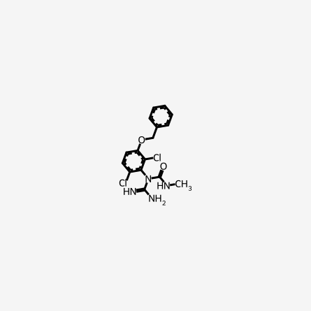 CNC(=O)N(C(=N)N)c1c(Cl)ccc(OCc2ccccc2)c1Cl